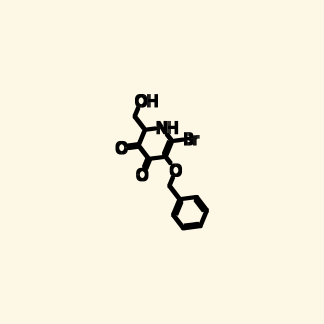 O=C1C(=O)C(CO)NC(Br)=C1OCc1ccccc1